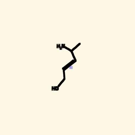 CC(N)/C=C/CO